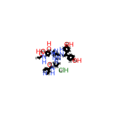 CCC(=O)N[C@H]1C[C@@H](n2cnc3c(NCC(c4ccc(O)cc4)c4ccc(O)cc4)nc(N4CCC(NC(=O)c5ccncc5)C4)nc32)[C@H](O)[C@@H]1O.Cl